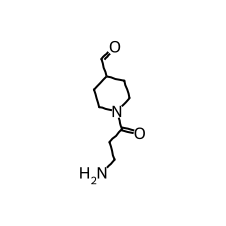 NCCC(=O)N1CCC(C=O)CC1